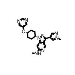 CNc1cc2c(cn1)c(-c1cnn(C)c1)nn2[C@H]1CC[C@@H](Oc2cncnc2)CC1